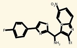 CCc1nc2ccc([N+](=O)[O-])cn2c1C(N)c1nc(-c2ccc(F)cc2)cs1